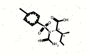 CC[C@H](C)[C@@H](C(=O)O)N(C(=N)N)S(=O)(=O)c1ccc(C)cc1